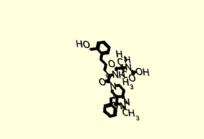 CN1N=C2CCN(C(=O)[C@@H](CCCc3ccccc3CO)NC(=O)C(C)(C)NC(=O)O)C[C@@]2(Cc2ccccc2)C1=O